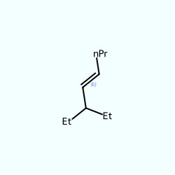 [CH2]CC/C=C/C(C[CH2])CC